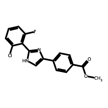 COC(=O)c1ccc(-c2c[nH]c(-c3c(F)cccc3Cl)n2)cc1